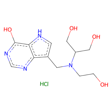 Cl.OCCN(Cc1c[nH]c2c(O)ncnc12)C(CO)CO